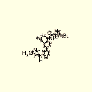 Cn1cc(Nc2nccc(-c3ccc4c(c3)C[C@H](F)CC[C@H]4NC(=O)c3nnc(C(C)(C)C)o3)n2)cn1